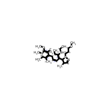 CC/C(C)=C(C/C=C\C(=C(/CC)NCO)C1C(C)C=NN1CCCOC)\C(C)=C(/NC)OC